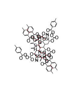 C=C[SiH](C=C)C(CC(C(C(C(CC(OC(=O)OOC(=O)c1ccc(C)cc1)[SiH](C=C)C=C)C(OC(=O)OOC(=O)c1ccc(C)cc1)[SiH](C=C)C=C)C(OC(=O)OOC(=O)c1ccc(C)cc1)[SiH](C=C)C=C)C(OC(=O)OOC(=O)c1ccc(C)cc1)[SiH](C=C)C=C)C(OC(=O)OOC(=O)c1ccc(C)cc1)[SiH](C=C)C=C)OC(=O)OOC(=O)c1ccc(C)cc1